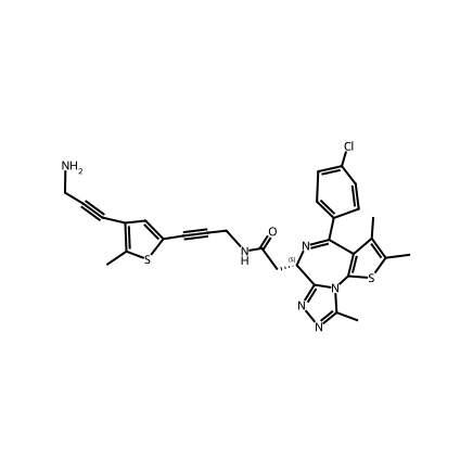 Cc1sc(C#CCNC(=O)C[C@@H]2N=C(c3ccc(Cl)cc3)c3c(sc(C)c3C)-n3c(C)nnc32)cc1C#CCN